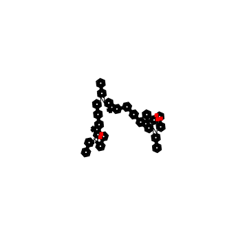 Cc1ccc(C2(c3ccccc3)c3cc(-c4ccc(-c5cccc(-c6ccc7c(c6)-c6ccc(N(c8ccc(-c9ccccc9)cc8)c8cccc(-c9ccc(-c%10ccc%11c(c%10)C(C)(C)c%10cc(N(c%12cccc(-c%13ccccc%13)c%12)c%12ccccc%12-c%12ccccc%12)ccc%10-%11)cc9)c8)cc6C7(C)C)c5)cc4)ccc3-c3ccc(N(c4ccc(-c5ccccc5)cc4)c4cccc(-c5ccccc5)c4)cc32)cc1